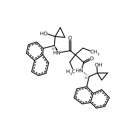 CCC(CC)(C(=O)N[C@@H](c1cccc2ccccc12)C1(O)CC1)C(=O)N[C@@H](c1cccc2ccccc12)C1(O)CC1